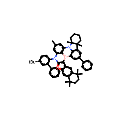 Cc1cc2c3c(c1)N1c4c(cc(-c5ccccc5)cc4C4(C)CCCCC14C)B3c1c(oc3cc4c(cc13)C(C)(C)CCC4(C)C)N2c1ccc(C(C)(C)C)cc1-c1ccccc1